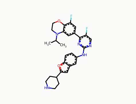 CC(C)N1CCOc2c(F)cc(-c3nc(Nc4ccc5oc(C6CCNCC6)cc5c4)ncc3F)cc21